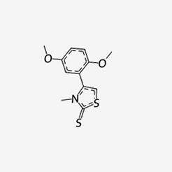 COc1ccc(OC)c(-c2csc(=S)n2C)c1